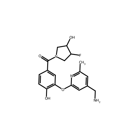 Cc1cc(CN)cc(Oc2cc(C(=O)N3CC(O)C(F)C3)ccc2O)n1